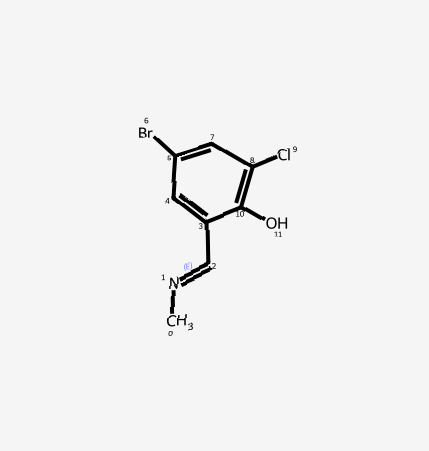 C/N=C/c1cc(Br)cc(Cl)c1O